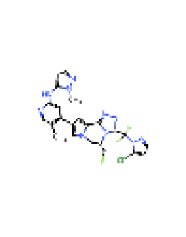 Cc1cnc(Nc2ccnn2C)cc1-c1cc2n(c1)C[C@H](CF)n1c-2nnc1C(F)(F)n1nccc1Cl